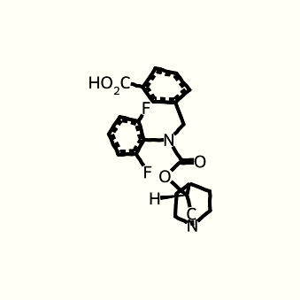 O=C(O)c1cccc(CN(C(=O)O[C@H]2CN3CCC2CC3)c2c(F)cccc2F)c1